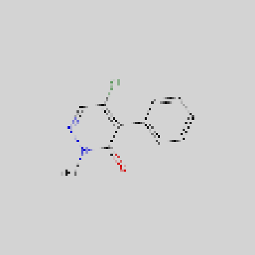 CC(C)(C)n1ncc(Cl)c(-c2ccccc2)c1=O